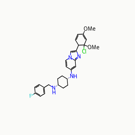 COC1=CC(Cl)(OC)C(c2cn3ccc(N[C@H]4CC[C@@H](NCc5ccc(F)cc5)CC4)cc3n2)C=C1